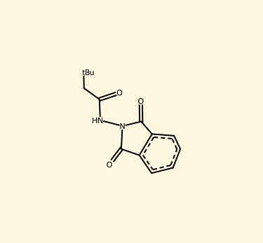 CC(C)(C)CC(=O)NN1C(=O)c2ccccc2C1=O